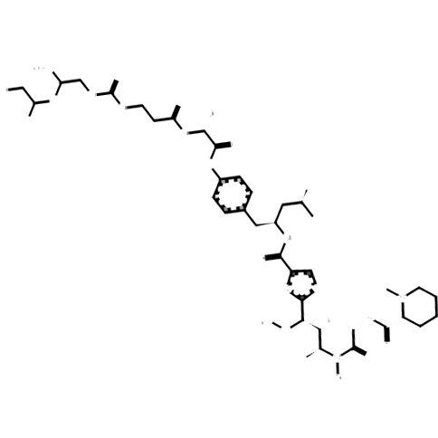 CCCO[C@H](C[C@H](C(C)C)N(CCC)C(=O)[C@@H](NC(=O)[C@H]1CCCCN1C)[C@@H](C)CC)c1nc(C(=O)N[C@@H](Cc2ccc(OC(=O)[C@H](NC(=O)CCNC(=O)OCC(OC)OC(CC)CO)C(C)C)cc2)C[C@H](C)C(=O)O)cs1